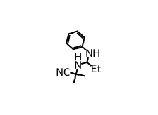 CCC(Nc1ccccc1)NC(C)(C)C#N